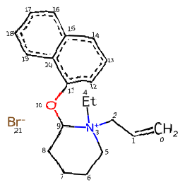 C=CC[N+]1(CC)CCCCC1Oc1cccc2ccccc12.[Br-]